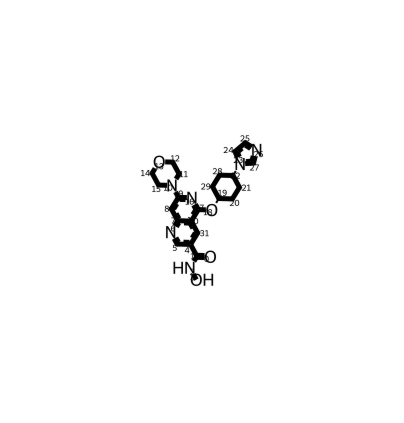 O=C(NO)c1cnc2cc(N3CCOCC3)nc(O[C@H]3CC[C@@H](n4ccnc4)CC3)c2c1